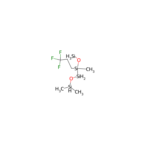 C[SiH](C)O[SiH2][Si](C)(CCC(F)(F)F)O[SiH3]